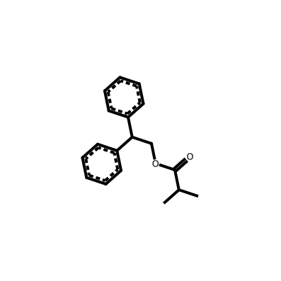 CC(C)C(=O)OCC(c1ccccc1)c1ccccc1